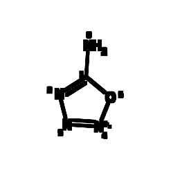 NC1=NN=[N+]O1